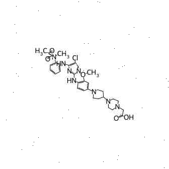 COc1cc(N2CCC(N3CCN(CC(=O)O)CC3)CC2)ccc1Nc1ncc(Cl)c(Nc2ccccc2N(C)S(C)(=O)=O)n1